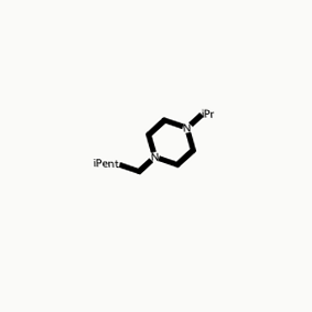 CCCC(C)CN1CCN(C(C)C)CC1